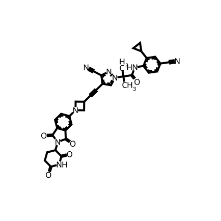 CC(C)(C(=O)Nc1ccc(C#N)cc1C1CC1)n1cc(C#CC2CN(c3ccc4c(c3)C(=O)N(C3CCC(=O)NC3=O)C4=O)C2)c(C#N)n1